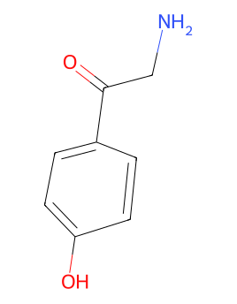 NCC(=O)c1ccc(O)cc1